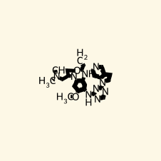 C=CC(=O)Nc1cc(Nc2ncnc(-n3ccc4cnccc43)n2)c(OC)cc1N1CCC1CN(C)C